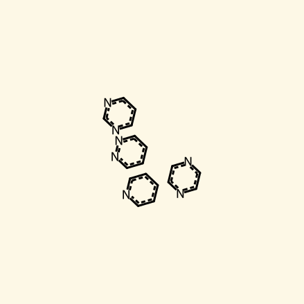 c1ccncc1.c1ccnnc1.c1cnccn1.c1cncnc1